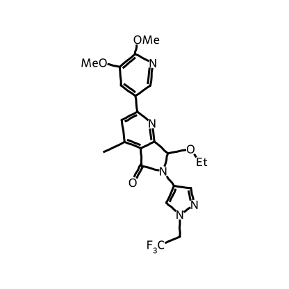 CCOC1c2nc(-c3cnc(OC)c(OC)c3)cc(C)c2C(=O)N1c1cnn(CC(F)(F)F)c1